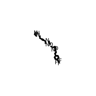 FC(F)(F)c1ccc(C=Cc2nc(COc3cnc(C#CCCn4ccnn4)cn3)co2)cc1